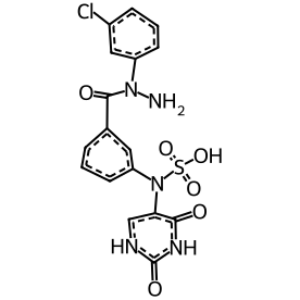 NN(C(=O)c1cccc(N(c2c[nH]c(=O)[nH]c2=O)S(=O)(=O)O)c1)c1cccc(Cl)c1